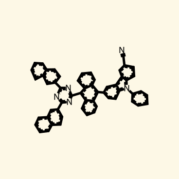 N#Cc1ccc2c(c1)c1cc(-c3c4ccccc4c(-c4nc(-c5ccc6ccccc6c5)nc(-c5ccc6ccccc6c5)n4)c4ccccc34)ccc1n2-c1ccccc1